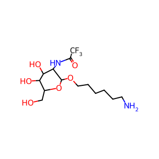 NCCCCCCOC1OC(CO)C(O)C(O)C1NC(=O)C(F)(F)F